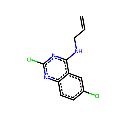 C=CCNc1nc(Cl)nc2ccc(Cl)cc12